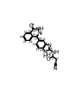 N#CCC(O)Nc1nc2cc(-c3n[nH]c(=O)c4ccccc34)ccc2[nH]1